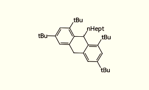 CCCCCCC[C]1c2c(cc(C(C)(C)C)cc2C(C)(C)C)Cc2cc(C(C)(C)C)cc(C(C)(C)C)c21